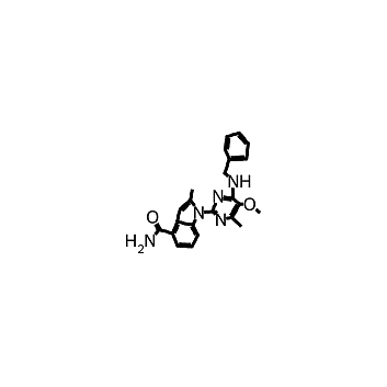 COc1c(C)nc(-n2c(C)cc3c(C(N)=O)cccc32)nc1NCc1ccccc1